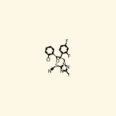 N#CSc1nc(I)nn1C[C@@]1(c2ccc(F)cc2F)O[C@H]1c1ccccc1Cl